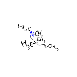 CC=CC[Si](C)(C)CN(C)C